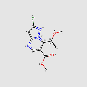 COC(=O)c1cnc2cc(Cl)nn2c1[C@H](C)OC